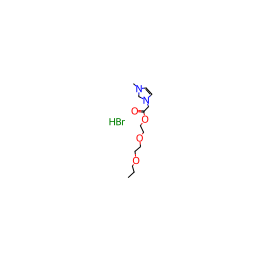 Br.CCCOCCOCCOC(=O)CN1C=CN(C)C1